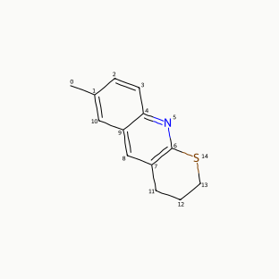 Cc1ccc2nc3c(cc2c1)CCCS3